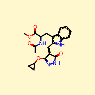 COC(=O)C(Cc1c(C=C2C(=O)NN=C2OC2CC2)[nH]c2ccccc12)NC(C)=O